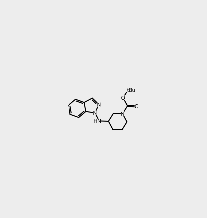 CC(C)(C)OC(=O)N1CCCC(Nn2ncc3ccccc32)C1